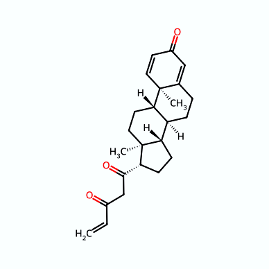 C=CC(=O)CC(=O)[C@H]1CC[C@H]2[C@@H]3CCC4=CC(=O)C=C[C@]4(C)[C@H]3CC[C@]12C